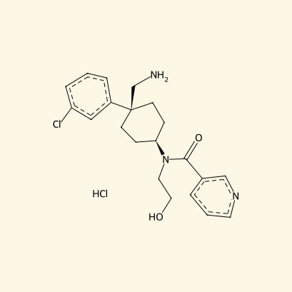 Cl.NC[C@]1(c2cccc(Cl)c2)CC[C@H](N(CCO)C(=O)c2cccnc2)CC1